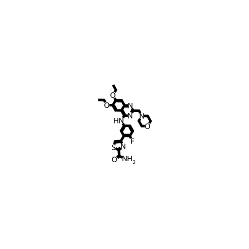 CCOc1cc2nc(CN3CCOCC3)nc(Nc3ccc(F)c(-c4csc(C(N)=O)n4)c3)c2cc1OCC